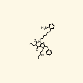 CCCn1c(=O)c2c(nc(Cc3ccccc3)n2CCNCC)n(CCCCCCc2ccccc2N)c1=O